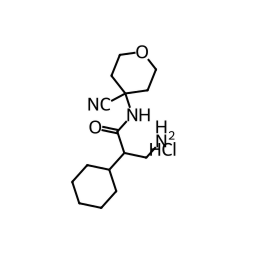 Cl.N#CC1(NC(=O)C(CN)C2CCCCC2)CCOCC1